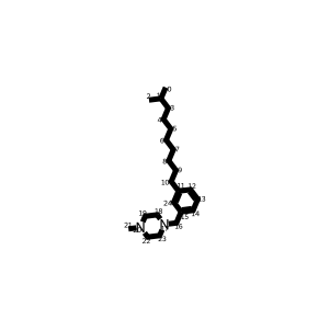 CC(C)CCCCCCCCc1cccc(CN2CCN(C)CC2)c1